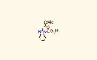 COC(=O)Cc1nc2ccccc2n1C(=O)O